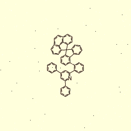 c1ccc(-c2cc(-c3ccccc3)nc(-c3ccccc3-c3cccc4c3-c3ccccc3C43c4cccc5ccc6cccc3c6c45)c2)cc1